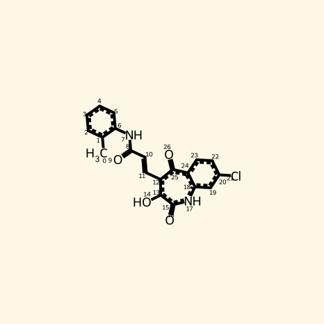 Cc1ccccc1NC(=O)C=Cc1c(O)c(=O)[nH]c2cc(Cl)ccc2c1=O